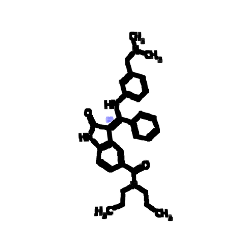 CCCN(CCC)C(=O)c1ccc2c(c1)/C(=C(/Nc1cccc(CN(C)C)c1)c1ccccc1)C(=O)N2